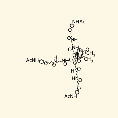 CC(=O)Nc1ccc(OCCCC(=O)NCCCNC(=O)CCOCC(COCCC(=O)NCCCNC(=O)CCCOc2ccc(NC(C)=O)cc2)(COCCC(=O)NCCCNC(=O)CCCOc2ccc(NC(C)=O)cc2)NC(=O)CCC(C)(C)CC(C)(C)C(=O)C(C)(C)C)cc1